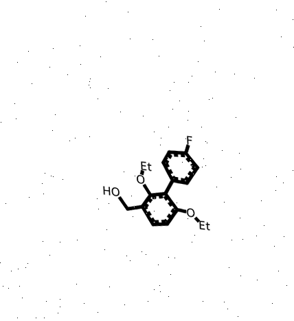 CCOc1ccc(CO)c(OCC)c1-c1ccc(F)cc1